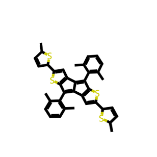 Cc1cccc(C)c1C1=C2C(=C(c3c(C)cccc3C)c3sc(C4C=CC(C)S4)cc32)c2cc(C3C=CC(C)S3)sc21